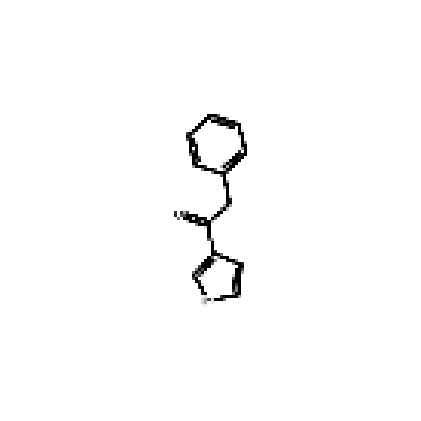 O=C(Cc1ccccc1)c1cc[nH]c1